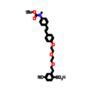 CN(C(=O)OC(C)(C)C)c1ccc(/C=C/c2ccc(OCCOCCOCCc3cc(C#N)ccc3S(=O)(=O)O)cc2)cc1